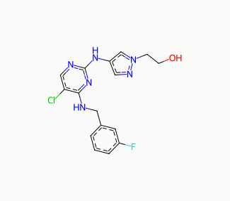 OCCn1cc(Nc2ncc(Cl)c(NCc3cccc(F)c3)n2)cn1